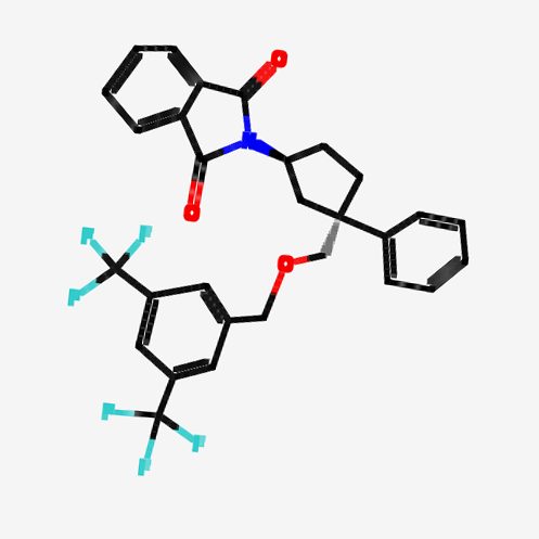 O=C1c2ccccc2C(=O)N1[C@H]1CC[C@@](COCc2cc(C(F)(F)F)cc(C(F)(F)F)c2)(c2ccccc2)C1